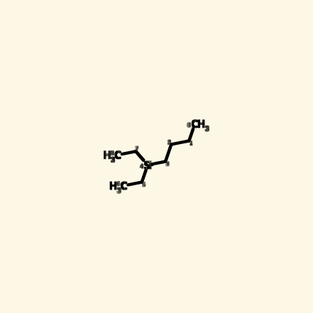 CCCC[Si](CC)CC